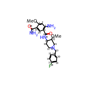 COc1cc(N)c(C(=O)NC2CCN(Cc3ccc(F)cc3)CC2OC)cc1C(N)=O